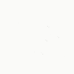 CCCNc1nc(Nc2ccc3c(c2)COB3O)ncc1C=O